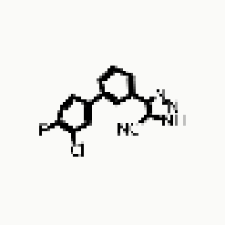 N#Cc1[nH]nnc1-c1cccc(-c2ccc(F)c(Cl)c2)c1